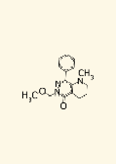 COCn1nc(-c2ccccc2)c2c(c1=O)CCCN2C